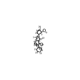 COc1cc(-n2c(C)c3cnn(-c4ccccn4)c(=O)c3c2C)ccc1C